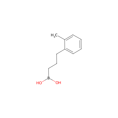 Cc1ccccc1CCCB(O)O